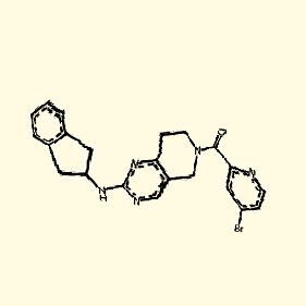 O=C(c1cc(Br)ccn1)N1CCc2nc(NC3Cc4ccccc4C3)ncc2C1